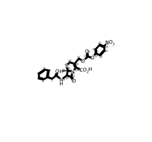 O=C(Cc1ccccc1)NC1C(=O)N2C(C(=O)O)=C(COC(=O)Oc3ccc([N+](=O)[O-])cc3)CS[C@@H]12